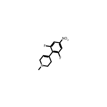 CN1CC=C(c2c(F)cc([N+](=O)[O-])cc2F)CC1